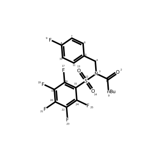 CCCCC(=O)N(Cc1ccc(F)cc1)S(=O)(=O)c1c(F)c(F)c(F)c(F)c1F